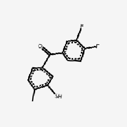 Cc1ccc(C(=O)c2ccc(F)c(F)c2)cc1S